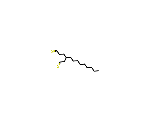 CCCCCCCCCC(CC=S)CCC=S